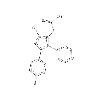 O=C(O)Cn1c(Cl)nc(-c2ccc(F)cc2)c1-c1ccncc1